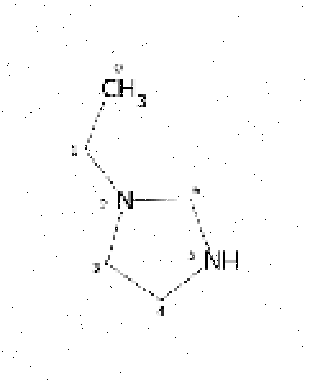 CCN1CCNC1